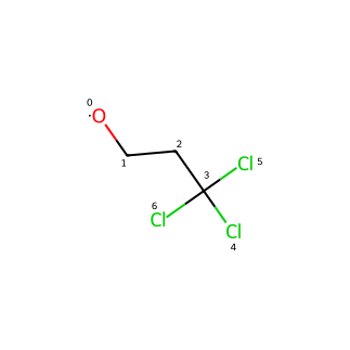 [O]CCC(Cl)(Cl)Cl